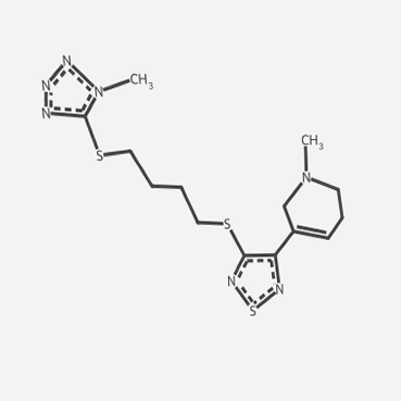 CN1CCC=C(c2nsnc2SCCCCSc2nnnn2C)C1